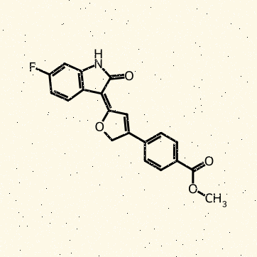 COC(=O)c1ccc(C2=C/C(=C3\C(=O)Nc4cc(F)ccc43)OC2)cc1